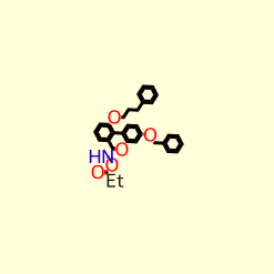 CCC(=O)ONC(=O)c1cccc(OCCCc2ccccc2)c1-c1ccc(OCc2ccccc2)cc1